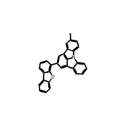 Cc1ccc2c(c1)c1cc(-c3cccc4c3oc3ccccc34)cc3c4ccccc4n2c31